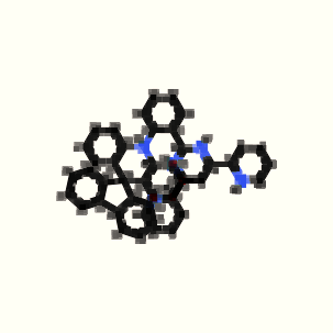 c1ccc(-c2cc(-c3ccccn3)nc(-c3ccccc3N3c4ccccc4C4(c5ccccc5-c5ccccc54)c4ccccc43)n2)nc1